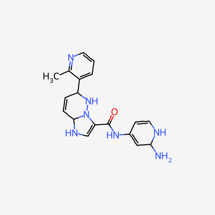 Cc1ncccc1C1C=CC2NC=C(C(=O)NC3=CC(N)NC=C3)N2N1